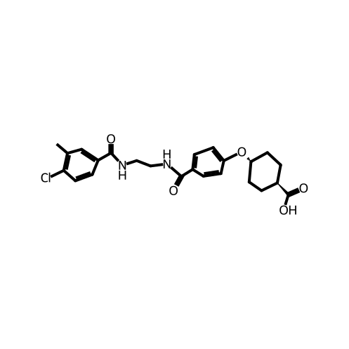 Cc1cc(C(=O)NCCNC(=O)c2ccc(O[C@H]3CC[C@H](C(=O)O)CC3)cc2)ccc1Cl